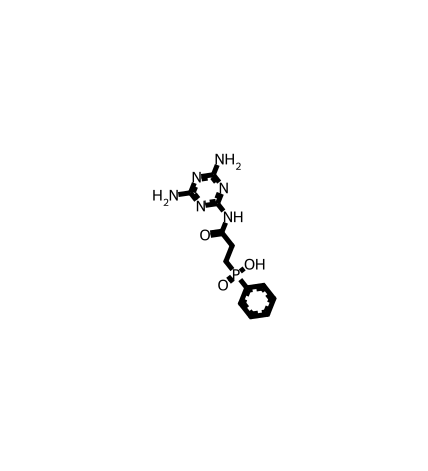 Nc1nc(N)nc(NC(=O)CCP(=O)(O)c2ccccc2)n1